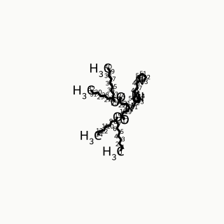 CCCCCCCCC(CCCCCC)OC(=O)CCN(CCC(=O)OC(CCCCCC)CCCCCCCC)Cc1cnn(CCCN2CCCC2)c1